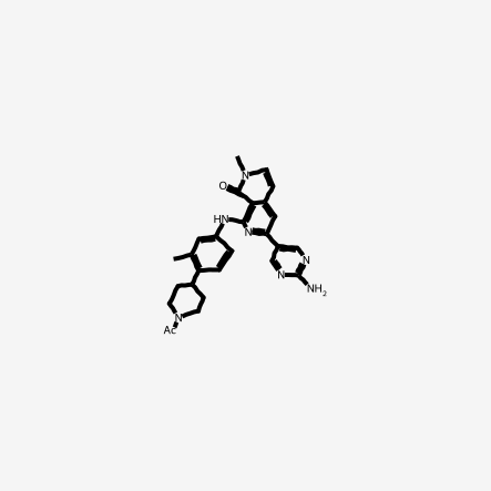 CC(=O)N1CCC(c2ccc(Nc3nc(-c4cnc(N)nc4)cc4ccn(C)c(=O)c34)cc2C)CC1